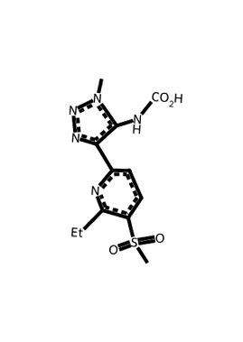 CCc1nc(-c2nnn(C)c2NC(=O)O)ccc1S(C)(=O)=O